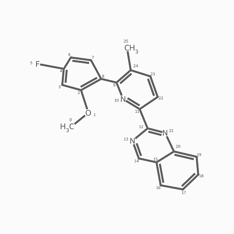 COc1cc(F)ccc1-c1nc(-c2ncc3ccccc3n2)ccc1C